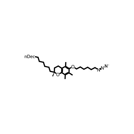 CCCCCCCCCCCCCCCC[C@]1(C)CCc2c(C)c(OCCCCCCN=[N+]=[N-])c(C)c(C)c2O1